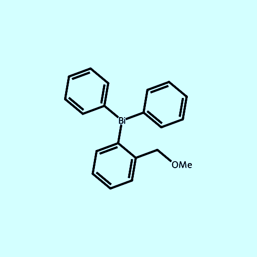 COCc1cccc[c]1[Bi]([c]1ccccc1)[c]1ccccc1